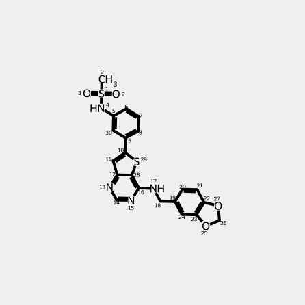 CS(=O)(=O)Nc1cccc(-c2cc3ncnc(NCc4ccc5c(c4)OCO5)c3s2)c1